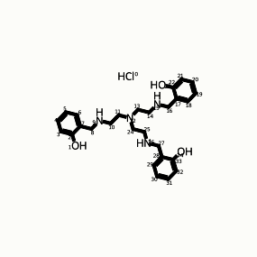 Cl.Oc1ccccc1CNCCN(CCNCc1ccccc1O)CCNCc1ccccc1O